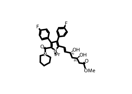 COC(=O)C[C@H](O)C[C@@H](O)C=Cc1c(-c2ccc(F)cc2)c(-c2ccc(F)cc2)c(C(=O)N2CCCCC2)n1C(C)C